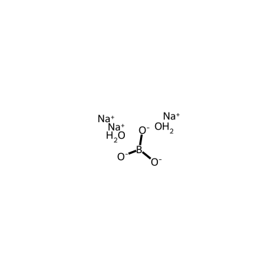 O.O.[Na+].[Na+].[Na+].[O-]B([O-])[O-]